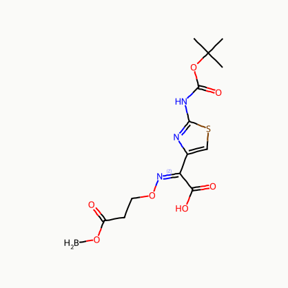 BOC(=O)CCO/N=C(\C(=O)O)c1csc(NC(=O)OC(C)(C)C)n1